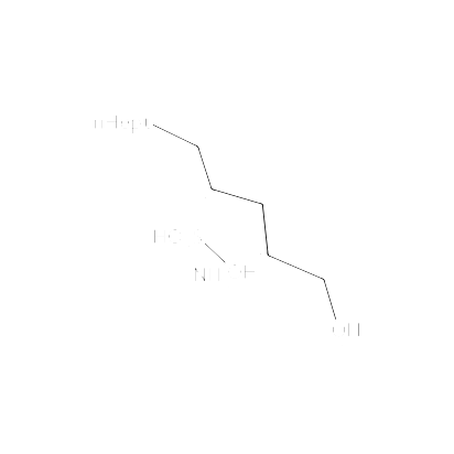 CCCCCCCCCCCCO.N.O=S(=O)(O)O